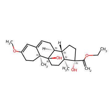 C=C(OCC)[C@]1(O)CC[C@H]2[C@@H]3CC=C4C=C(OC)CC[C@]4(C)[C@@]3(O)CC[C@@]21C